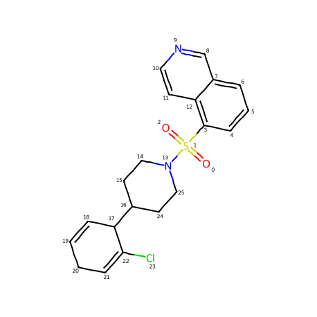 O=S(=O)(c1cccc2cnccc12)N1CCC(C2C=CCC=C2Cl)CC1